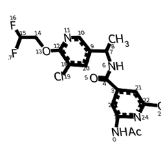 CC(=O)Nc1cc(C(=O)NC(C)c2cnc(OCC(F)F)c(Cl)c2)cc(C)n1